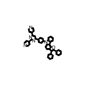 c1ccc(-c2oc3c(ccc4c3c3ccccc3n4-c3ccc(-c4cc(-c5ccncc5)nc(-c5ccncc5)n4)cc3)c2-c2ccccc2)cc1